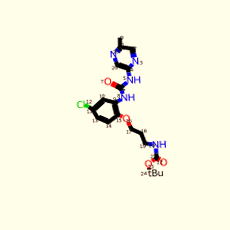 Cc1cnc(NC(=O)Nc2cc(Cl)ccc2OCCCNC(=O)OC(C)(C)C)cn1